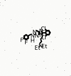 CCN(CC)CCCCn1c(-c2c(Cl)cccc2Cl)nc2cnc(NCc3ccc(F)c(F)c3)nc21